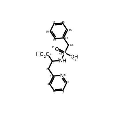 O=C(O)C(Cc1ccccn1)NP(=O)(O)Cc1ccccc1